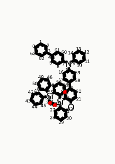 c1ccc(-c2ccc(N(c3ccccc3)c3ccc(-c4ccc5c(c4)[Si]4(c6ccccc6O5)c5ccccc5[Si](c5ccccc5)(c5ccccc5)c5ccccc54)cc3)cc2)cc1